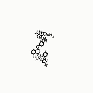 Cc1ccc(-n2nc(C(C)(C)C)cc2NC(=O)N[C@H]2CC[C@@H](Oc3ccc4nnc(N5CCC(C(C)C)(C(C)C)C5(CO[SiH3])C(C)C)n4c3)c3ccccc32)cc1